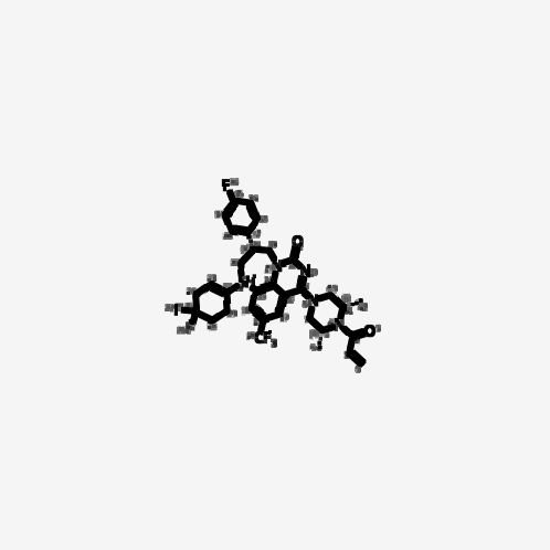 C=CC(=O)N1[C@H](C)CN(c2nc(=O)n3c4c(cc(C(F)(F)F)cc24)[SH](C2=CCC(F)(F)CC2)C[C@H](c2ccc(F)cc2)C3)C[C@@H]1C